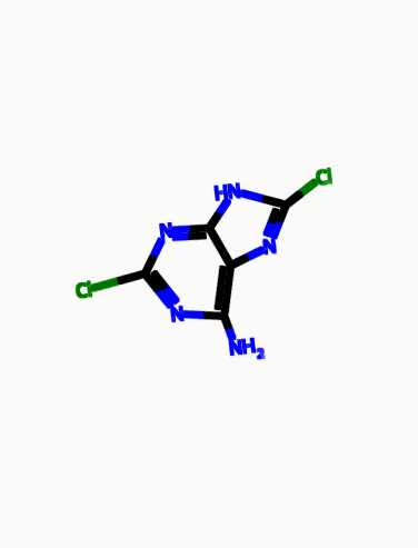 Nc1nc(Cl)nc2[nH]c(Cl)nc12